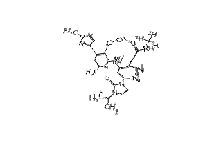 [2H]C([2H])([2H])NC(=O)c1nnc(N2CCN(C(C)C)C2=O)cc1Nc1nc(C)cc(-c2cnn(C)n2)c1OC